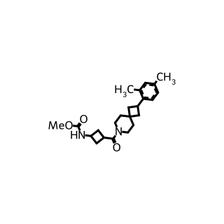 COC(=O)NC1CC(C(=O)N2CCC3(CC2)CC(c2ccc(C)cc2C)C3)C1